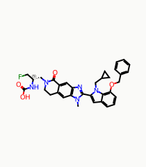 Cn1c(-c2cc3cccc(OCc4ccccc4)c3n2CC2CC2)nc2cc3c(cc21)CCN(C[C@@H](CF)NC(=O)O)C3=O